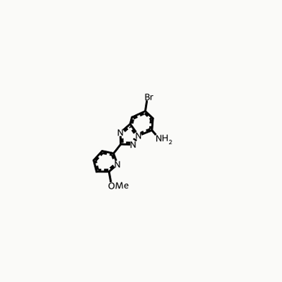 COc1cccc(-c2nc3cc(Br)cc(N)n3n2)n1